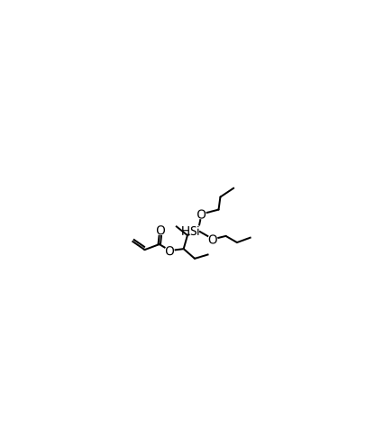 C=CC(=O)OC(CC)C(C)[SiH](OCCC)OCCC